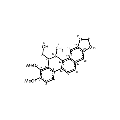 COc1ccc2c(c1OC)C(CO)N(C)c1c-2ccc2cc3c(cc12)OCO3